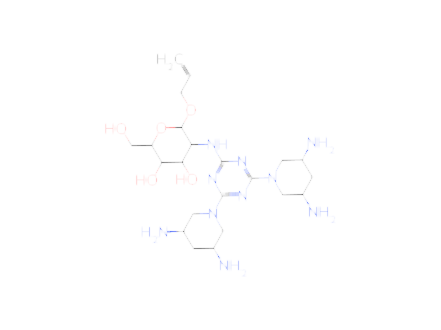 C=CCOC1OC(CO)C(O)C(O)C1Nc1nc(N2C[C@H](N)C[C@H](N)C2)nc(N2C[C@H](N)C[C@H](N)C2)n1